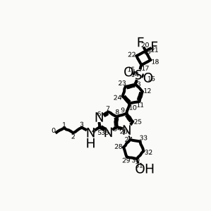 CCCCNc1ncc2c(-c3ccc(S(=O)(=O)C4CC(F)(F)C4)cc3)cn([C@H]3CC[C@H](O)CC3)c2n1